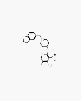 Nc1c(Cl)cnc(NC2CCN(Cc3ccc4c(c3)CCO4)CC2)c1[N+](=O)[O-]